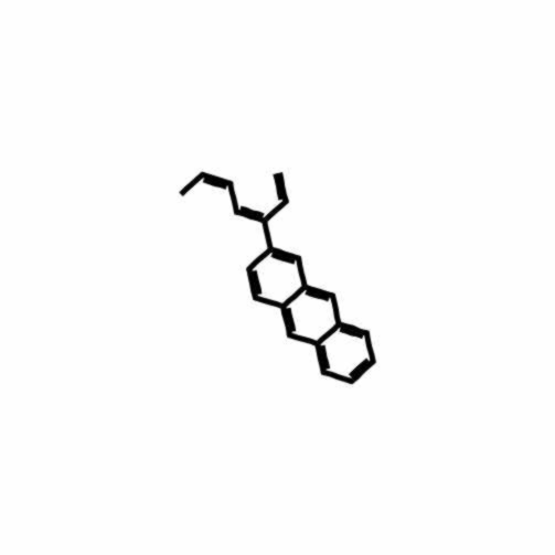 C=C/C(=C\C=C/C)c1ccc2cc3ccccc3cc2c1